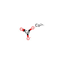 [Co+2].[O]=[Ge]([O-])[O-]